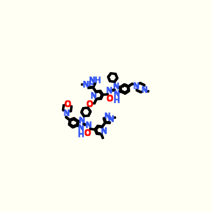 CN/C=C(\C=N)c1cc(C(=O)/N=c2\[nH]c3ccc(CN4CCN(C)CC4)cc3n2C2CCCCC2)cc(CO[C@H]2CC[C@@H](n3/c(=N/C(=O)c4cc(C)nc(-c5cnn(C)c5)c4)[nH]c4ccc(CN5CCOCC5)cc43)CC2)n1